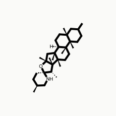 CC1CC[C@@]2(C)[C@](C)(CC[C@H]3[C@@]2(C)CC[C@]2(C)[C@]4(C)[C@H](C)[C@]5(CC[C@H](C)CN5)O[C@]4(C)C[C@]32C)C1